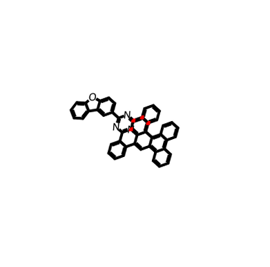 c1ccc(-c2nc(-c3ccc4oc5ccccc5c4c3)nc(-c3ccccc3-c3cc4c5ccccc5c5ccccc5c4c4ccccc34)n2)cc1